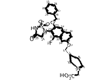 O=C(O)CN1CC[C@@H](COc2ccc3cc(OCc4ccccc4)c(N4CC(=O)NS4(=O)=O)c(F)c3c2)C1